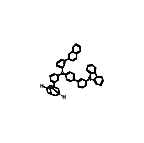 c1cc(-c2ccc3ccccc3c2)cc(N(c2ccc(-c3cccc(-n4c5ccccc5c5ccccc54)c3)cc2)c2cccc(C34CC5C[C@H](C3)C[C@H](C5)C4)c2)c1